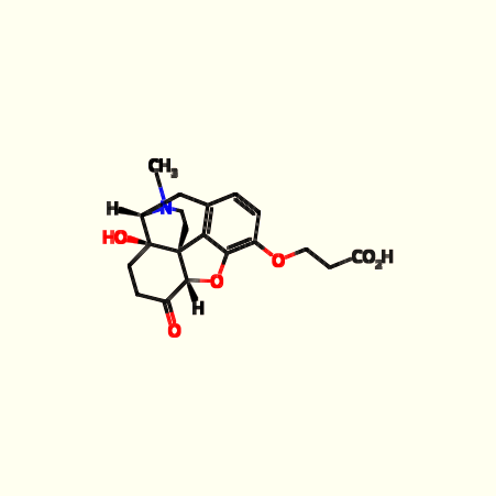 CN1CC[C@@]23c4c5ccc(OCCC(=O)O)c4O[C@@H]2C(=O)CC[C@]3(O)[C@@H]1C5